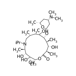 CC[C@H]1OC(=O)[C@H](C)[C@@H](O)[C@H](C)[C@@H](O[C@H]2C[C@@H](N(C)C)C[C@@H](C)O2)[C@](C)(O)C[C@@H](C)CN(C(C)C)[C@H](C)[C@@H](O)[C@]1(C)O